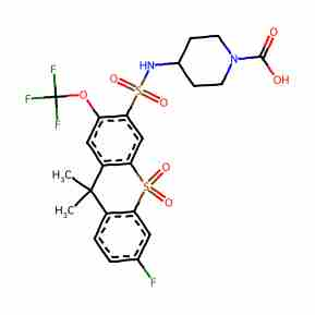 CC1(C)c2ccc(F)cc2S(=O)(=O)c2cc(S(=O)(=O)NC3CCN(C(=O)O)CC3)c(OC(F)(F)F)cc21